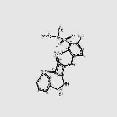 CC[C@@H](Nc1c(Nc2ccc(Cl)c(S(=O)(=O)N(CC)OC)c2O)c(=O)c1=O)c1ccccc1